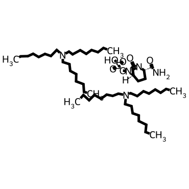 CCCCCCCCN(CCCCCCCC)CCCCCCCC.CCCCCCCCN(CCCCCCCC)CCCCCCCC.NC(=O)[C@@H]1CC[C@@H]2CN1C(=O)N2OS(=O)(=O)O